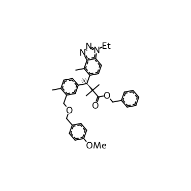 CCn1nnc2c(C)c([C@H](c3ccc(C)c(COCc4ccc(OC)cc4)c3)C(C)(C)C(=O)OCc3ccccc3)ccc21